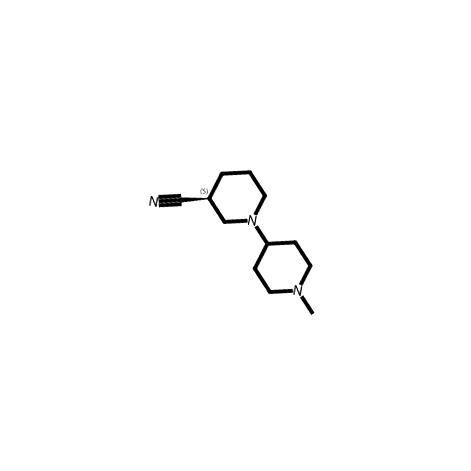 CN1CCC(N2CCC[C@H](C#N)C2)CC1